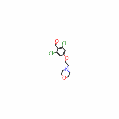 O=Cc1c(Cl)cc(OCCN2CCOCC2)cc1Cl